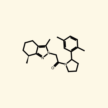 Cc1ccc(C)c(C2CCCN2C(=O)Cn2nc3c(c2C)CCC[C@@H]3C)c1